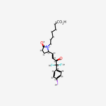 O=C(O)CCCCCCN1C(=O)CCC1C=CC(=O)C(F)(F)c1ccc(I)cc1